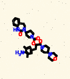 Cc1cc(CC(OC(=O)N2CCC(N3CCc4ccccc4NC3=O)CC2)C(=O)N2CCC(N3CCOCC3)CC2)cc(C)c1N